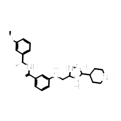 COc1cccc([C@H](C)NC(=O)c2cccc(NCC3NNC(C4CCNCC4)N3)c2)c1